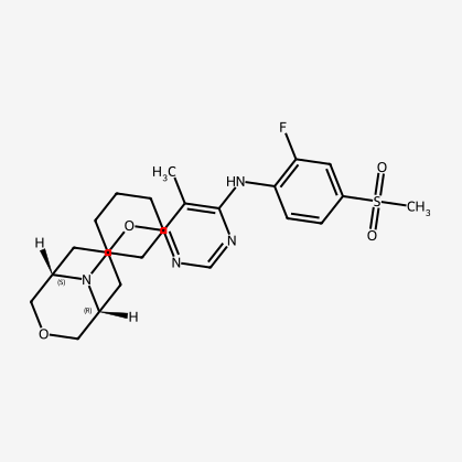 Cc1c(Nc2ccc(S(C)(=O)=O)cc2F)ncnc1OC1C[C@H]2COC[C@@H](C1)N2C1CCCCC1